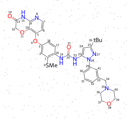 CSc1cc(Oc2ccnc3c2OCC(=O)N3)ccc1NC(=O)Nc1cc(C(C)(C)C)nn1-c1cccc(CN2CCOCC2)c1